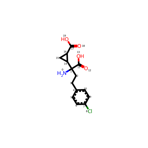 NC(CCc1ccc(Cl)cc1)(C(=O)O)C1CC1C(=O)O